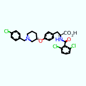 O=C(N[C@@H](Cc1ccc(O[C@H]2CCCN(Cc3ccc(Cl)cc3)C2)cc1)C(=O)O)c1c(Cl)cccc1Cl